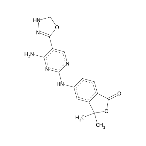 CC1(C)OC(=O)c2ccc(Nc3ncc(C4=NNCO4)c(N)n3)cc21